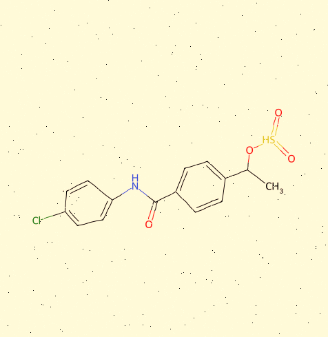 CC(O[SH](=O)=O)c1ccc(C(=O)Nc2c[c]c(Cl)cc2)cc1